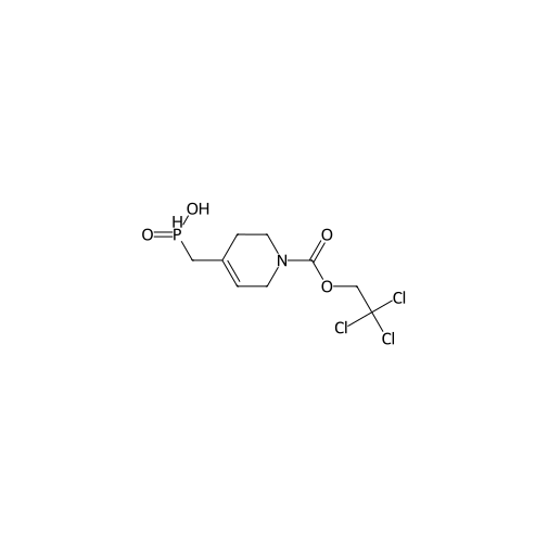 O=C(OCC(Cl)(Cl)Cl)N1CC=C(C[PH](=O)O)CC1